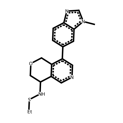 CCSNC1COCc2c(-c3ccc4ncn(C)c4c3)cncc21